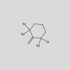 [2H]C1([2H])CCCC([2H])([2H])C1=C